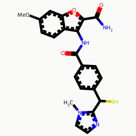 COc1ccc2c(NC(=O)c3ccc(C(S)c4nccn4C)cc3)c(C(N)=O)oc2c1